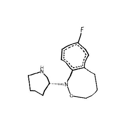 Fc1ccc2c(c1)CCCON2[C@@H]1CCCN1